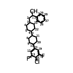 C[C@H](CC1CCC(C2CCC(C3=CC(F)C(Cl)C(F)=C3)CC2)CC1)c1ccccc1